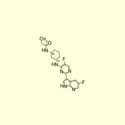 CCC(=O)N[C@@H]1CCC[C@H](Nc2nc(-c3c[nH]c4ncc(F)cc34)ncc2F)C1